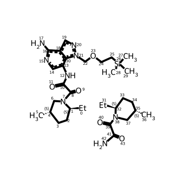 CC[C@H]1CC[C@H](C)CN1C(=O)C(=O)Nc1cnc(N)c2cnn(COCC[Si](C)(C)C)c12.CC[C@H]1CC[C@H](C)CN1C(=O)C(N)=O